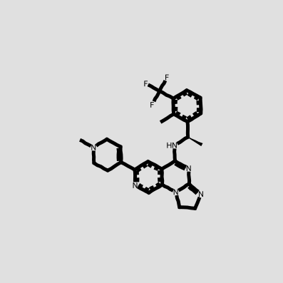 Cc1c([C@@H](C)NC2=NC3=NCCN3c3cnc(C4=CCN(C)CC4)cc32)cccc1C(F)(F)F